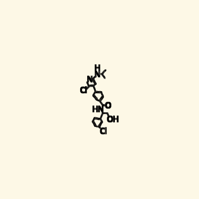 CC(C)Nc1cc(-c2ccc(C(=O)NC(CO)c3cccc(Cl)c3)cc2)c(Cl)cn1